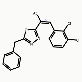 CC(=O)/C(=C/c1cccc(Cl)c1Cl)c1nnc(Cc2ccccc2)o1